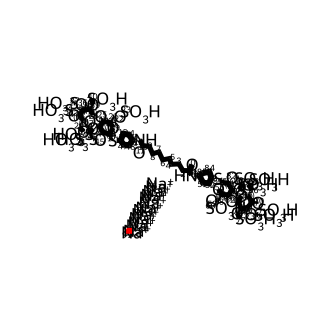 O=C(CCCCCCCCC(=O)Nc1ccc(S[C@@H]2O[C@H](COS(=O)(=O)O)[C@@H](O[C@@H]3O[C@H](COS(=O)(=O)O)[C@@H](OS(=O)(=O)O)[C@H](OS(=O)(=O)O)[C@H]3OS(=O)(=O)O)[C@H](OS(=O)(=O)O)[C@H]2OS(=O)(=O)O)cc1)Nc1ccc(S[C@@H]2O[C@H](COS(=O)(=O)O)[C@@H](O[C@@H]3O[C@H](COS(=O)(=O)O)[C@@H](OS(=O)(=O)O)[C@H](OS(=O)(=O)O)[C@H]3OS(=O)(=O)O)[C@H](OS(=O)(=O)O)[C@H]2OS(=O)(=O)O)cc1.[Na+].[Na+].[Na+].[Na+].[Na+].[Na+].[Na+].[Na+].[Na+].[Na+].[Na+].[Na+].[Na+].[Na+]